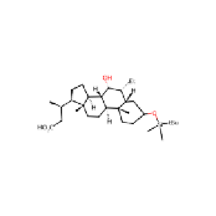 CC[C@H]1[C@@H](O)[C@@H]2[C@H](CC[C@]3(C)[C@@H]([C@H](C)CC(=O)O)CC[C@@H]23)[C@@]2(C)CCC(O[Si](C)(C)C(C)(C)C)C[C@@H]12